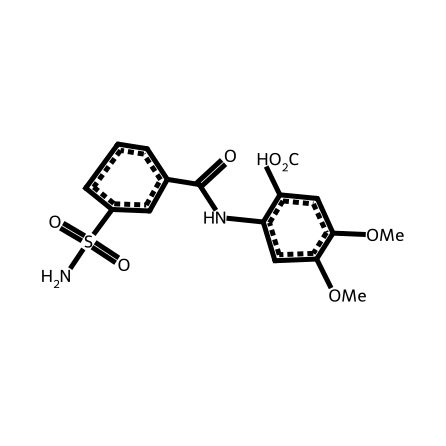 COc1cc(NC(=O)c2cccc(S(N)(=O)=O)c2)c(C(=O)O)cc1OC